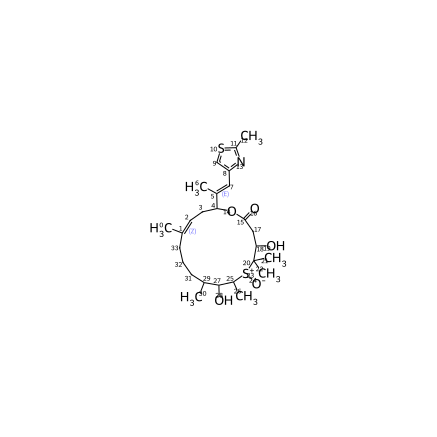 C/C1=C/CC(/C(C)=C/c2csc(C)n2)OC(=O)CC(O)C(C)(C)[S+]([O-])C(C)C(O)C(C)CCC1